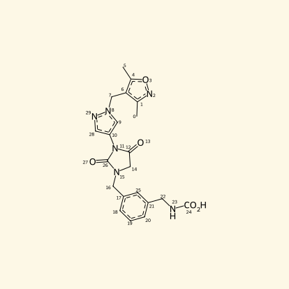 Cc1noc(C)c1Cn1cc(N2C(=O)CN(Cc3cccc(CNC(=O)O)c3)C2=O)cn1